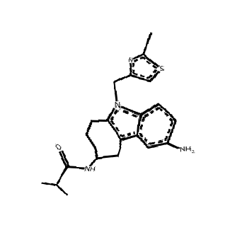 Cc1nc(Cn2c3c(c4cc(N)ccc42)CC(NC(=O)C(C)C)CC3)cs1